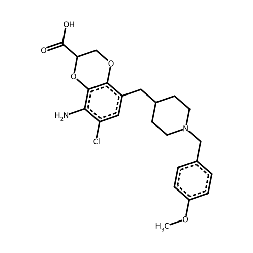 COc1ccc(CN2CCC(Cc3cc(Cl)c(N)c4c3OCC(C(=O)O)O4)CC2)cc1